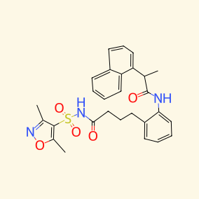 Cc1noc(C)c1S(=O)(=O)NC(=O)CCCc1ccccc1NC(=O)C(C)c1cccc2ccccc12